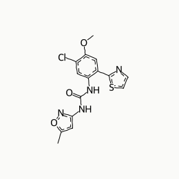 COc1cc(-c2nccs2)c(NC(=O)Nc2cc(C)on2)cc1Cl